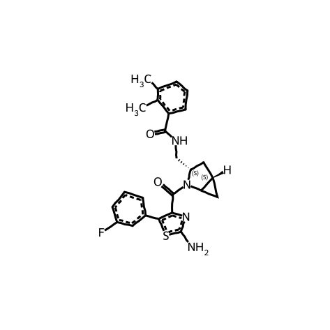 Cc1cccc(C(=O)NC[C@@H]2C[C@@H]3CC3N2C(=O)c2nc(N)sc2-c2cccc(F)c2)c1C